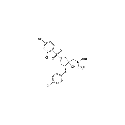 CC(C)(C)N(C[C@]1(O)CN(S(=O)(=O)c2ccc(C#N)cc2Cl)C[C@@H]1Sc1ccc(Cl)cn1)C(=O)O